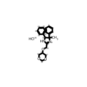 CC1(c2ccccc2)N=C(COC2COCOC2)NC1c1ccccc1.Cl